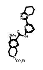 CCOC(=O)N1CCc2cc(OC)c(C(=O)Nc3cccc(-c4nnc5n4CCCC5)n3)cc2C1